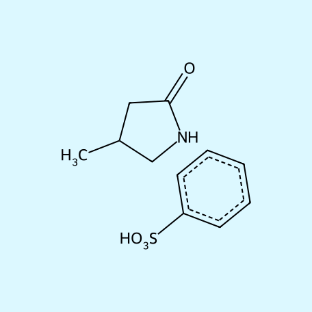 CC1CNC(=O)C1.O=S(=O)(O)c1ccccc1